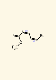 C=C(/N=C\C=C/CC)OC(F)(F)F